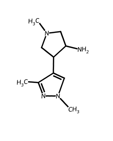 Cc1nn(C)cc1C1CN(C)CC1N